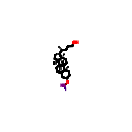 C[C@H](CCCO)[C@H]1CC[C@H]2[C@@H]3CC=C4C[C@@H](OPI)CC[C@]4(C)[C@H]3CC[C@]12C